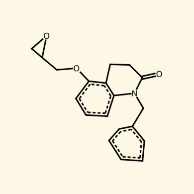 O=C1CCc2c(OCC3CO3)cccc2N1Cc1ccccc1